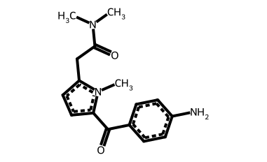 CN(C)C(=O)Cc1ccc(C(=O)c2ccc(N)cc2)n1C